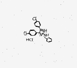 Cl.Clc1ccc([C@H]2NC(NCc3ccccc3)=N[C@H]2c2ccc(Cl)cc2)cc1